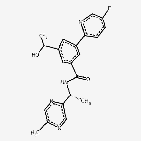 Cc1cnc([C@@H](C)NC(=O)c2cc(-c3ccc(F)cn3)cc(C(O)C(F)(F)F)c2)cn1